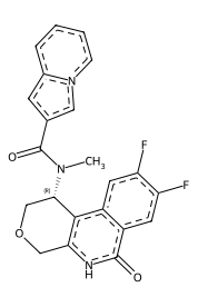 CN(C(=O)c1cc2ccccn2c1)[C@H]1COCc2[nH]c(=O)c3cc(F)c(F)cc3c21